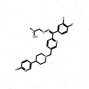 C[C@H](O)CO/N=C(/c1ccc(F)c(F)c1)c1ccc(CN2CCC(c3ccc(F)nc3)CC2)cn1